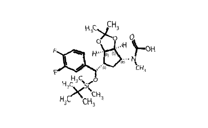 CN(C(=O)O)[C@@H]1C[C@H](C(O[Si](C)(C)C(C)(C)C)c2ccc(F)c(F)c2)[C@H]2OC(C)(C)O[C@H]21